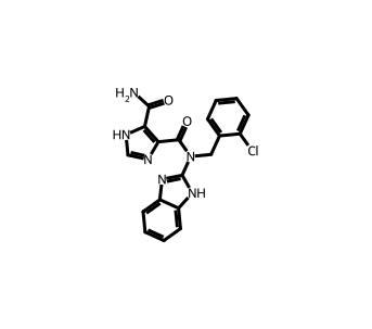 NC(=O)c1[nH]cnc1C(=O)N(Cc1ccccc1Cl)c1nc2ccccc2[nH]1